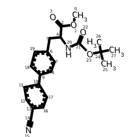 COC(=O)C(Cc1ccc(-c2ccc(C#N)cc2)cc1)NC(=O)OC(C)(C)C